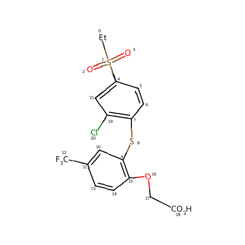 CCS(=O)(=O)c1ccc(Sc2cc(C(F)(F)F)ccc2OCC(=O)O)c(Cl)c1